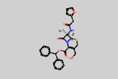 CO[C@@]1(NC(=O)Cc2ccco2)C(=O)N2C(C(=O)OC(c3ccccc3)c3ccccc3)=C(CO)CS[C@@H]21